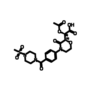 CC(=O)O[C@@H](C(=O)O)[C@H]1OCCN(c2ccc(C(=O)N3CCN(S(C)(=O)=O)CC3)cc2)C1=O